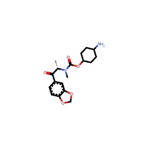 C[C@@H](C(=O)c1ccc2c(c1)OCO2)N(C)C(=O)OC1CCC(N)CC1